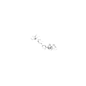 c1cc(-c2ccc(-c3cccc4c3sc3ccccc34)cc2)cc(-c2cnc3c(n2)oc2c4ccccc4ccc32)c1